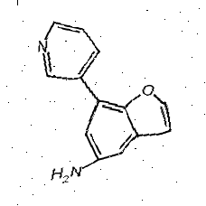 Nc1cc(-c2cccnc2)c2occc2c1